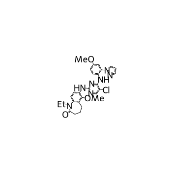 CCN1C(=O)CCCc2c1ccc(Nc1ncc(Cl)c(Nc3ccc(OC)cc3-n3cccn3)n1)c2OC